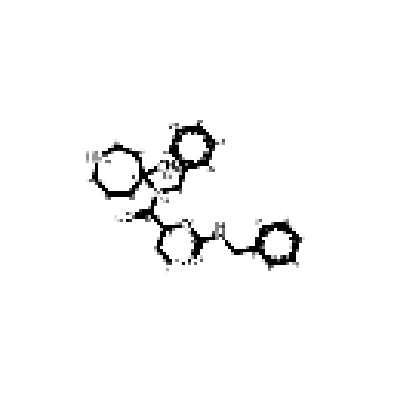 CC(C)CC(OC(=O)NCc1ccccc1)C(=O)N(Cc1ccccc1)C1(C#N)CCCNCC1